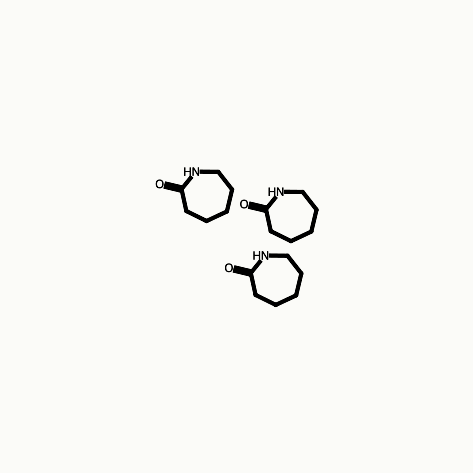 O=C1CCCCCN1.O=C1CCCCCN1.O=C1CCCCCN1